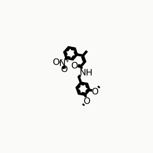 COc1ccc(CNC(=O)C=C(C)c2cccc([N+](=O)[O-])c2)cc1OC